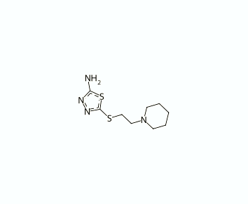 Nc1nnc(SCCN2CCCCC2)s1